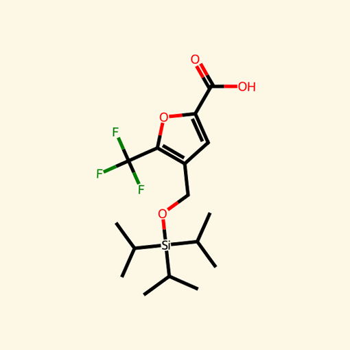 CC(C)[Si](OCc1cc(C(=O)O)oc1C(F)(F)F)(C(C)C)C(C)C